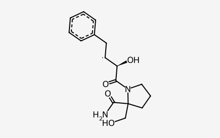 NC(=O)C1(CO)CCCN1C(=O)[C@H](O)[CH]Cc1ccccc1